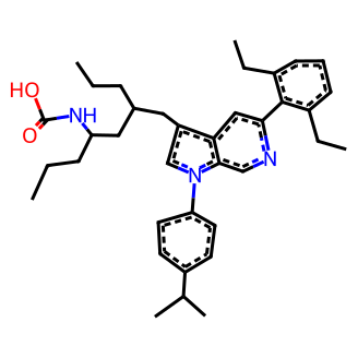 CCCC(Cc1cn(-c2ccc(C(C)C)cc2)c2cnc(-c3c(CC)cccc3CC)cc12)CC(CCC)NC(=O)O